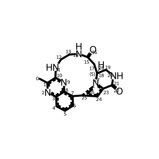 Cc1nc2cccc3c2nc1NCCNC(=O)C[C@H]1CNC(=O)c2cc-3cn21